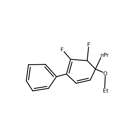 CCCC1(OCC)C=CC(c2ccccc2)=C(F)C1F